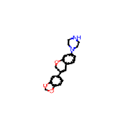 C1=C(c2ccc3c(c2)OCO3)COc2cc(N3CCNCC3)ccc21